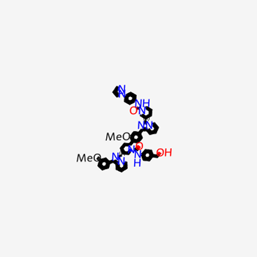 COc1cccc(-c2nc([C@@H]3CCC(c4ccc(-c5nc([C@@H]6CCCN(C(=O)Nc7ccc(-n8cccn8)cc7)C6)n6ccccc56)cc4OC)N(C(=O)Nc4ccc(CO)cc4)C3)n3ccccc23)c1